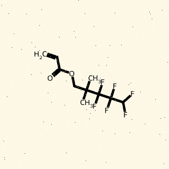 C=CC(=O)OCC(C)(C)C(F)(F)C(F)(F)C(F)F